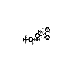 Cc1nc2ccc(Nc3ccc(C(F)(F)F)cc3F)cc2c(=O)n1C(c1ccccc1)c1ccccc1